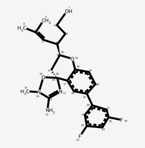 CC(C)=CC(CCO)[C@@H]1C[C@@]2(N=C(N)N(C)O2)c2cc(-c3cc(F)cc(F)c3)ccc2O1